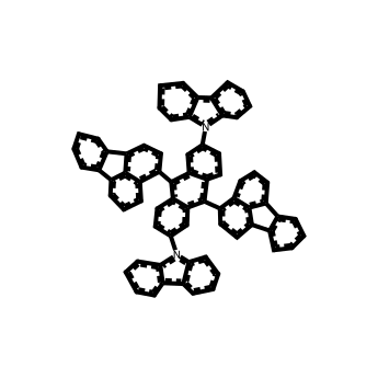 c1ccc2c(c1)-c1cccc3c(-c4c5ccc(-n6c7ccccc7c7ccccc76)cc5c(-c5ccc6c7c(cccc57)-c5ccccc5-6)c5ccc(-n6c7ccccc7c7ccccc76)cc45)ccc-2c13